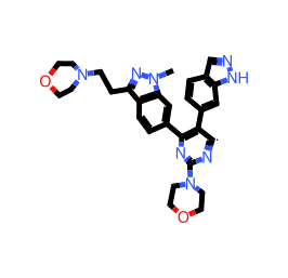 Cn1nc(CCN2CCOCC2)c2ccc(-c3nc(N4CCOCC4)n[c]c3-c3ccc4cn[nH]c4c3)cc21